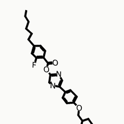 CCCCCCc1ccc(C(=O)Oc2cnc(-c3ccc(OCC(C)CC)cc3)cn2)c(F)c1